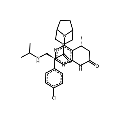 CC(C)NC[C@@H](C(=O)N1CC2CCC(C1)N2c1ncnc2c1[C@H](C)CC(=O)N2)c1ccc(Cl)cc1